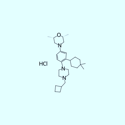 C[C@@H]1CN(c2ccc(N3CCN(CC4CCC4)CC3)c(C3CCC(C)(C)CC3)c2)C[C@H](C)O1.Cl